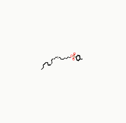 CC/C=C\C/C=C\C/C=C\CC=C=C/C=C\CCCCOS(=O)(=O)c1ccc(C)cc1